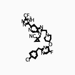 N#CC1(Cn2c(CN3CCC(Oc4nc(Cc5ccc(Cl)cc5)ncc4F)CC3)nc3cc(-c4nnc(C(F)(F)F)[nH]4)ncc32)CC1